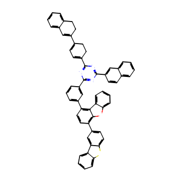 C1=C(C2=Cc3ccccc3CC2)CCC(c2nc(-c3cccc(-c4ccc(-c5ccc6sc7ccccc7c6c5)c5oc6ccccc6c45)c3)nc(-c3ccc4ccccc4c3)n2)=C1